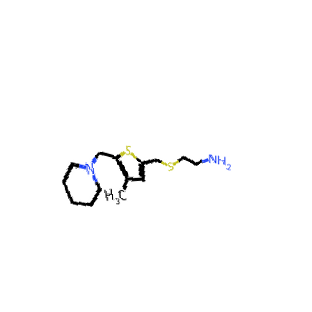 Cc1cc(CSCCN)sc1CN1CCCCC1